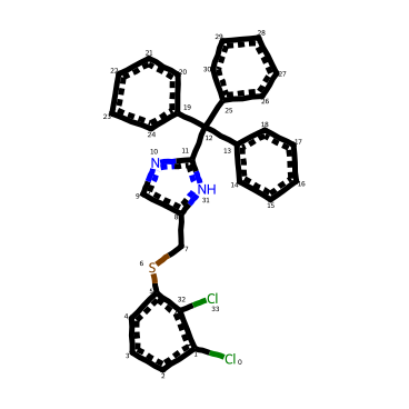 Clc1cccc(SCc2cnc(C(c3ccccc3)(c3ccccc3)c3ccccc3)[nH]2)c1Cl